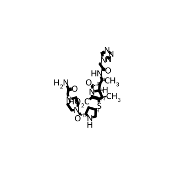 C[C@@H](NC(=O)Cn1cnnn1)[C@H]1C(=O)N2C(C(=O)O)=C(S[C@@H]3CN[C@H](C(=O)N4CCN(CC(N)=O)CC4)C3)[C@H](C)[C@H]12